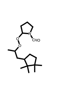 CC(CC1CCC(C)(C)C1(C)C)OOC1CCCN1C=O